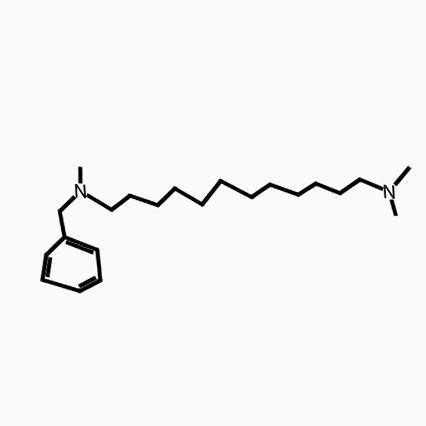 CN(C)CCCCCCCCCCCCN(C)Cc1ccccc1